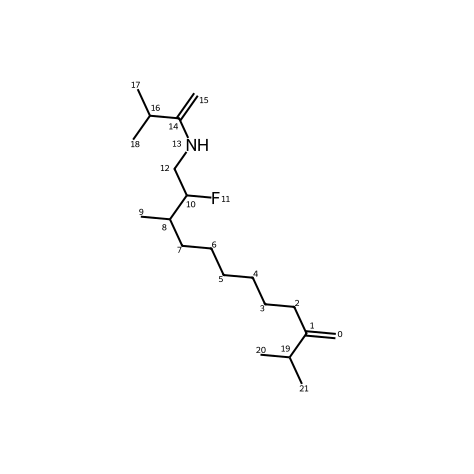 C=C(CCCCCCC(C)C(F)CNC(=C)C(C)C)C(C)C